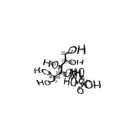 N.O=S(=O)(O)O.OC[C@@H](O)[C@@H](O)[C@H](O)[C@@H](O)CO